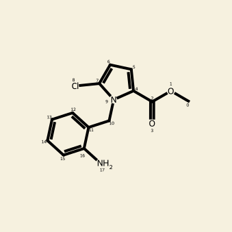 COC(=O)c1ccc(Cl)n1Cc1ccccc1N